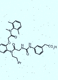 Cc1cccc(C)c1N(C)C(=O)COc1ccccc1N(CCC(C)C)C(=O)CNC(=O)Nc1cccc(CC(=O)O)c1